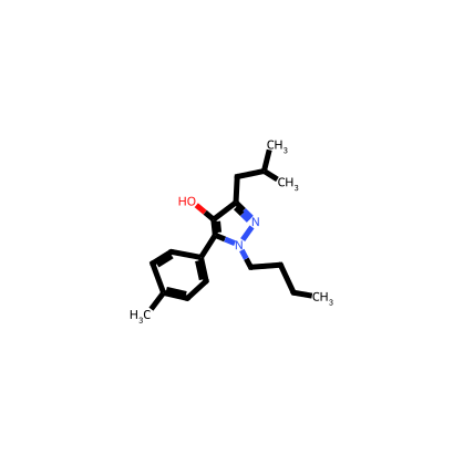 CCCCn1nc(CC(C)C)c(O)c1-c1ccc(C)cc1